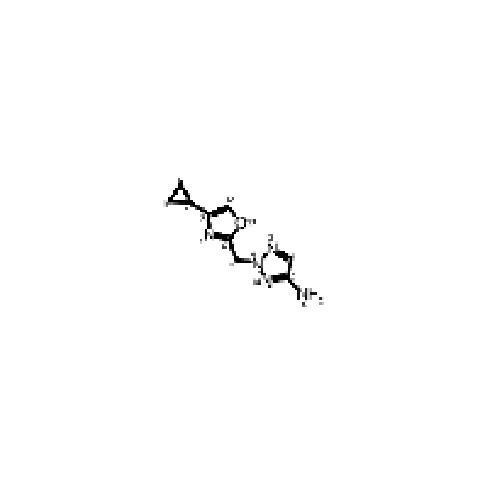 Nc1cnn(Cc2nc([C]3CC3)co2)n1